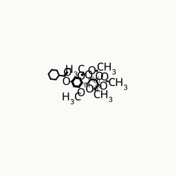 COc1cc(OC(=O)C2CCCCC2)ccc1[C@H]1O[C@@H](C)[C@@H](OC(C)=O)[C@@H](OC(C)=O)[C@@H]1OC(C)=O